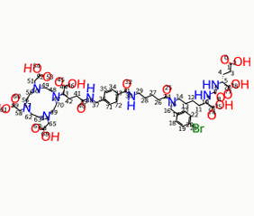 O=C(O)CC[C@@H](NC(=O)N[C@H](CCCCN(Cc1ccc(Br)cc1)C(=O)CCCCNC(=O)c1ccc(CNC(=O)CCC(C(=O)O)N2CCN(CC(=O)O)CCN(CC(=O)O)CCN(CC(=O)O)CC2)cc1)C(=O)O)C(=O)O